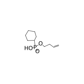 C=CCCOP(=O)(O)C1CCCCC1